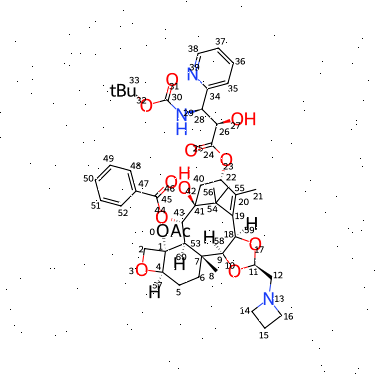 CC(=O)O[C@@]12CO[C@@H]1CC[C@@]1(C)[C@@H]3O[C@H](CN4CCC4)O[C@@H]3C3=C(C)[C@@H](OC(=O)[C@H](O)[C@@H](NC(=O)OC(C)(C)C)c4ccccn4)C[C@@](O)([C@@H](OC(=O)c4ccccc4)[C@@H]12)C3(C)C